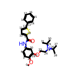 COc1ccc(NC(=O)c2ccc(-c3ccccc3)s2)cc1OCCN(C(C)C)C(C)C